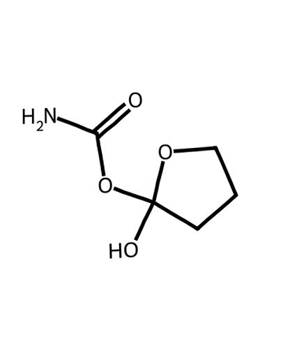 NC(=O)OC1(O)CCCO1